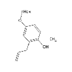 C.C=CCc1cc(OCCCCCC)ccc1O